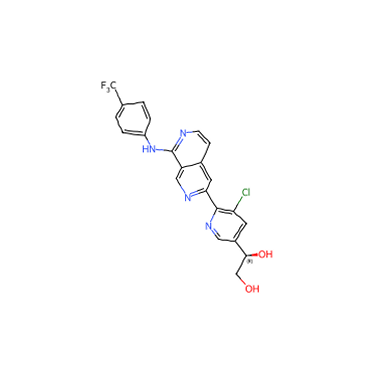 OC[C@H](O)c1cnc(-c2cc3ccnc(Nc4ccc(C(F)(F)F)cc4)c3cn2)c(Cl)c1